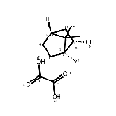 CC1(C)[C@@H]2CC[C@]1(C)[C@@H](O)C2.O=C(O)C(=O)O